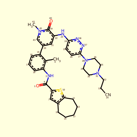 Cc1c(NC(=O)c2cc3c(s2)CCCCC3)cccc1-c1cc(Nc2ccc(N3CCN(CCC#N)CC3)nn2)c(=O)n(C)c1